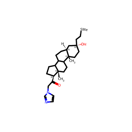 CSCC[C@@]1(O)CC[C@]2(C)C3CC[C@@]4(C)C(CC[C@@H]4C(=O)Cn4ccnc4)C3CC[C@H]2C1